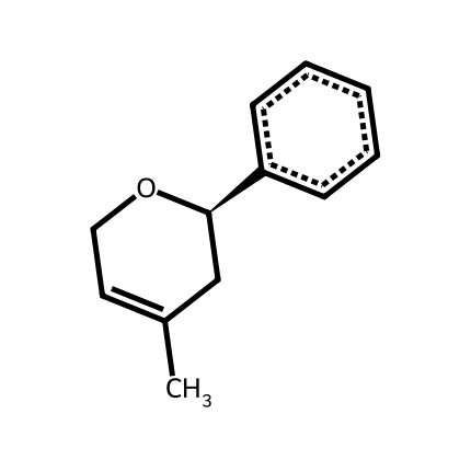 CC1=CCO[C@@H](c2ccccc2)C1